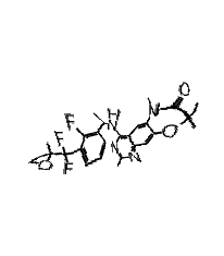 Cc1nc(N[C@H](C)c2cccc(C(F)(F)C3(C)CO3)c2F)c2cc3c(cc2n1)OC(C)(C)C(=O)N3C